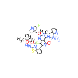 C[C@H](c1cccnc1N)N1CCOc2nc(-c3cccc4sc(NC(=O)OC(C)(C)C)nc34)c(F)c3nc(OC[C@@]45CCCN4C[C@H](F)C5)nc1c23